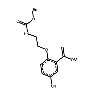 C=C(OC)c1cc(C#N)ccc1OCCNC(=O)OC(C)(C)C